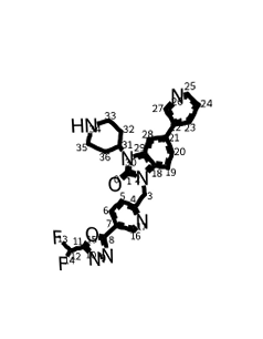 O=c1n(Cc2ccc(-c3nnc(C(F)F)o3)cn2)c2ccc(-c3cccnc3)cc2n1C1CCNCC1